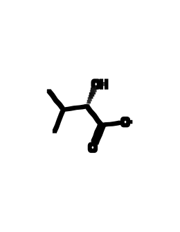 CC(C)[C@H](O)C([O])=O